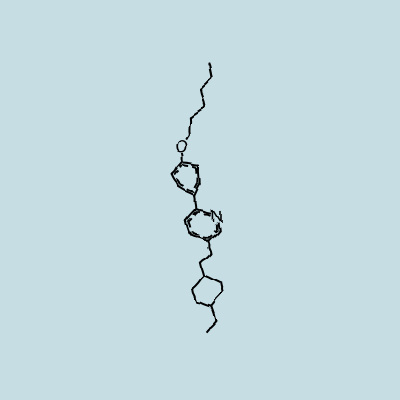 CCCCCCOc1ccc(-c2ccc(CCC3CCC(CC)CC3)cn2)cc1